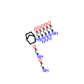 C1CC2CCC1C2.N=C=O.N=C=O.N=C=O.N=C=O.N=C=O.N=C=O.N=C=O